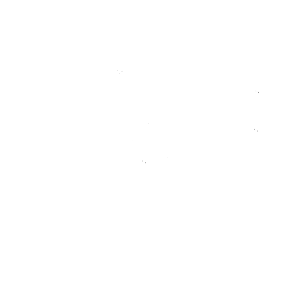 CCOC(=O)Oc1c(-c2ccc3nsnc3c2)c2cc(OC)c(OC3CCCC3)cc2n1Cc1ccc2c(c1)OCO2